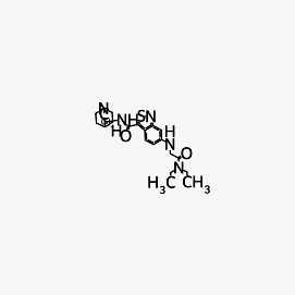 CCN(CC)C(=O)CNc1ccc2c(C(=O)N[C@@H]3CN4CCC3CC4)snc2c1